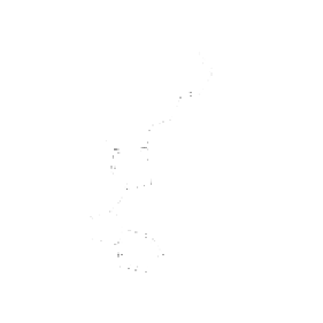 O=C(O)C=CCCc1ccc(N2NNc3ccccc32)cc1O